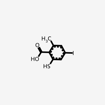 Cc1cc(I)cc(S)c1C(=O)O